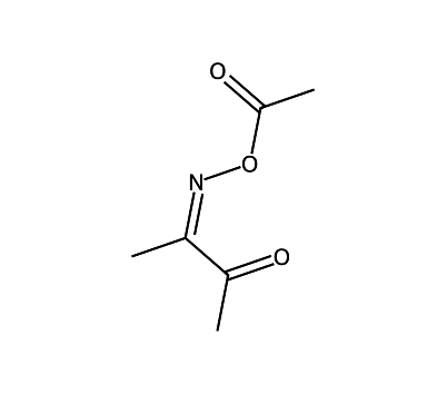 CC(=O)ON=C(C)C(C)=O